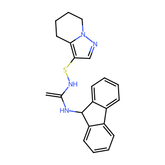 C=C(NSc1cnn2c1CCCC2)NC1c2ccccc2-c2ccccc21